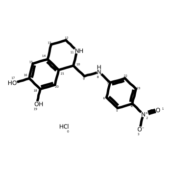 Cl.O=[N+]([O-])c1ccc(NCC2NCCc3cc(O)c(O)cc32)cc1